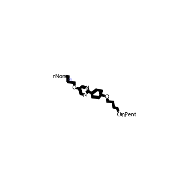 CCCCCCCCC/C=C/COc1cnc(-c2ccc(OCCCCOCCCCC)cc2)nc1